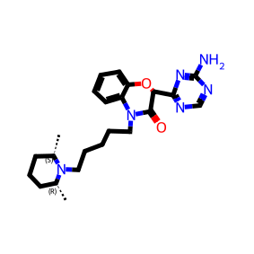 C[C@@H]1CCC[C@H](C)N1CCCCCN1C(=O)C(c2ncnc(N)n2)Oc2ccccc21